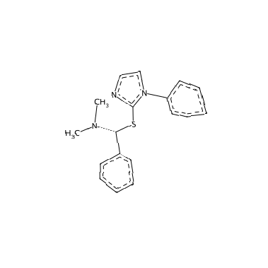 CN(C)C(Sc1nccn1-c1ccccc1)c1ccccc1